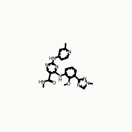 CNC(=O)c1cnc(Nc2ccnc(C)c2)nc1Nc1cccc(-c2ncn(C)n2)c1OC